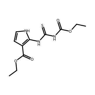 CCOC(=O)NC(=S)Nc1[nH]ccc1C(=O)OCC